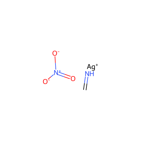 C=N.O=[N+]([O-])[O-].[Ag+]